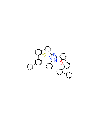 c1ccc(-c2cccc(-c3cccc4c3sc3c(-c5nc(-c6ccccc6)nc(-c6cccc7c6oc6c(-c8ccccc8-c8ccccc8)cccc67)n5)cccc34)c2)cc1